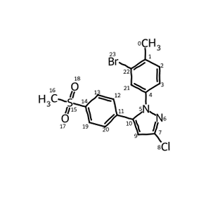 Cc1ccc(-n2nc(Cl)cc2-c2ccc(S(C)(=O)=O)cc2)cc1Br